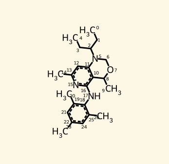 CCC(CC)N1COC(C)c2c1cc(C)nc2Nc1c(C)cc(C)cc1C